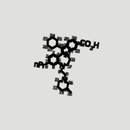 CCCc1ccc2c(c1)N(CCN1CCCC(C)C1)CCn1c-2c(C2CCCCC2)c2ccc(C(=O)O)cc21